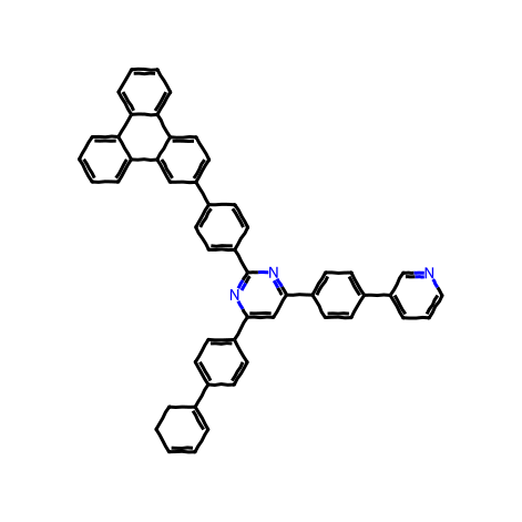 C1=CCCC(c2ccc(-c3cc(-c4ccc(-c5cccnc5)cc4)nc(-c4ccc(-c5ccc6c7ccccc7c7ccccc7c6c5)cc4)n3)cc2)=C1